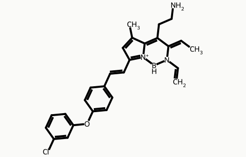 C=CN1B[N+]2=C(/C=C/c3ccc(Oc4cccc(Cl)c4)cc3)C=C(C)C2=C(CCN)/C1=C/C